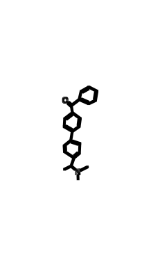 CC(c1ccc(-c2ccc(C(=O)c3ccccc3)cc2)cc1)N(C)C